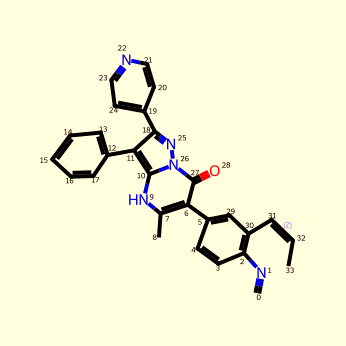 C=Nc1ccc(-c2c(C)[nH]c3c(-c4ccccc4)c(-c4ccncc4)nn3c2=O)cc1/C=C\C